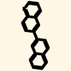 c1ccc2cc(-c3ccc4ncccc4c3)ccc2c1